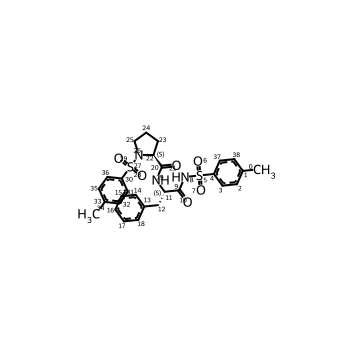 Cc1ccc(S(=O)(=O)NC(=O)[C@H](Cc2ccccc2)NC(=O)[C@@H]2CCCN2S(=O)(=O)c2ccc(C)cc2)cc1